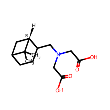 CC1(C)C2CCC(CN(CC(=O)O)CC(=O)O)[C@H]1C2